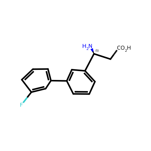 N[C@@H](CC(=O)O)c1cccc(-c2cccc(F)c2)c1